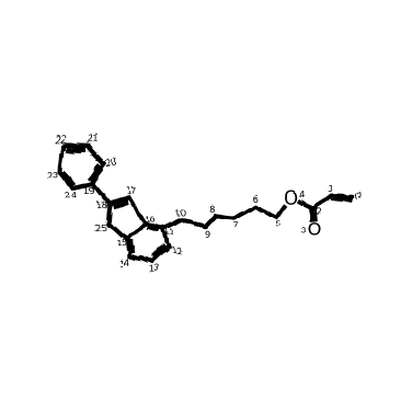 C=CC(=O)OCCCCCCc1cccc2c1C=C(c1ccccc1)C2